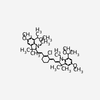 CCN1/C(=C\C=C2/CCCC(/C=C/C3=[N+](CC)c4c(C(C)OC)cc(OC)cc4C3(C)C)=C2Cl)C(C)(C)c2cc(OC)cc(C(C)OC)c21